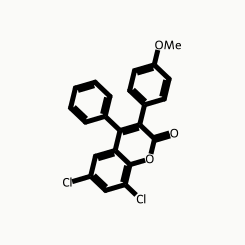 COc1ccc(-c2c(-c3ccccc3)c3cc(Cl)cc(Cl)c3oc2=O)cc1